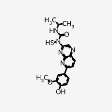 COc1cc(-c2ccc3ncc(N(S)C(=O)NC(C)C)nc3n2)ccc1O